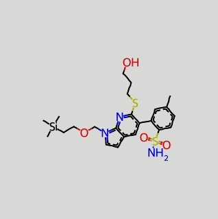 Cc1ccc(S(N)(=O)=O)c(-c2cc3ccn(COCC[Si](C)(C)C)c3nc2SCCCO)c1